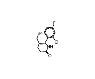 CC(C)CC1=C(c2ccc(F)cc2Cl)NC(=O)CC1